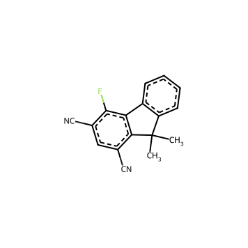 CC1(C)c2ccccc2-c2c(F)c(C#N)cc(C#N)c21